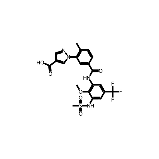 COc1c(NC(=O)c2ccc(C)c(-n3cc(C(=O)O)cn3)c2)cc(C(F)(F)F)cc1NS(C)(=O)=O